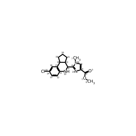 COC(=O)c1cn(C)c(C2Nc3ccc(Cl)cc3C3CCCC32)n1